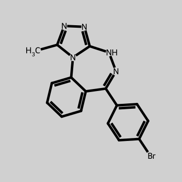 Cc1nnc2n1-c1ccccc1C(c1ccc(Br)cc1)=NN2